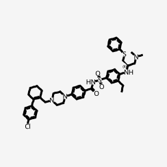 CCc1cc(S(=O)(=O)NC(=O)c2ccc(N3CCN(CC4=C(c5ccc(Cl)cc5)CCCC4)CC3)cc2)ccc1N[C@@H](CSc1ccccc1)CN(C)C